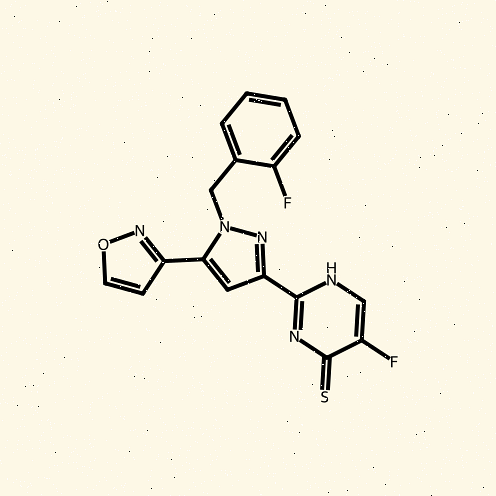 Fc1ccccc1Cn1nc(-c2nc(=S)c(F)c[nH]2)cc1-c1ccon1